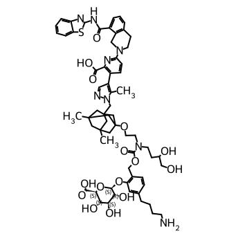 Cc1c(-c2ccc(N3CCc4cccc(C(=O)Nc5nc6ccccc6s5)c4C3)nc2C(=O)O)cnn1CC12CC3(C)CC(C)(C1)CC(OCCN(CCC(O)CO)C(=O)OCc1ccc(CCCCN)cc1O[C@@H]1O[C@H](C(=O)O)[C@@H](O)[C@H](O)[C@H]1O)(C3)C2